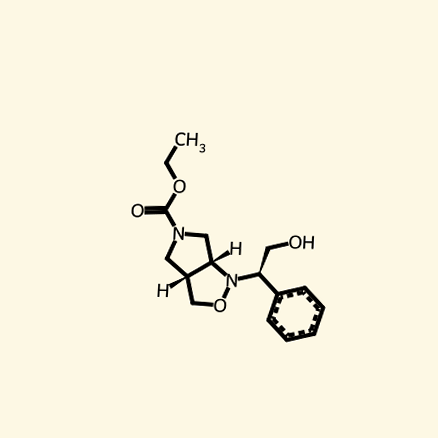 CCOC(=O)N1C[C@H]2CON([C@@H](CO)c3ccccc3)[C@H]2C1